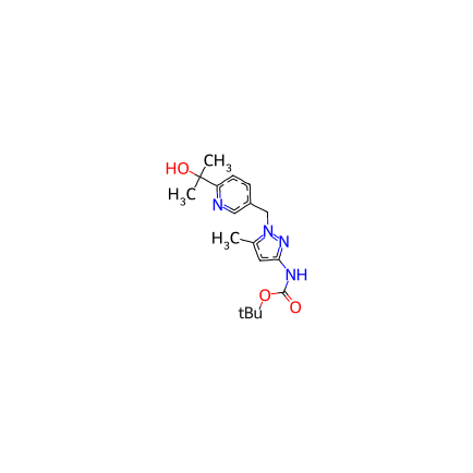 Cc1cc(NC(=O)OC(C)(C)C)nn1Cc1ccc(C(C)(C)O)nc1